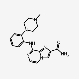 CN1CCN(c2ccccc2Nc2nc[c]n3cc(C(N)=O)nc23)CC1